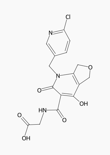 O=C(O)CNC(=O)c1c(O)c2c(n(Cc3ccc(Cl)nc3)c1=O)COC2